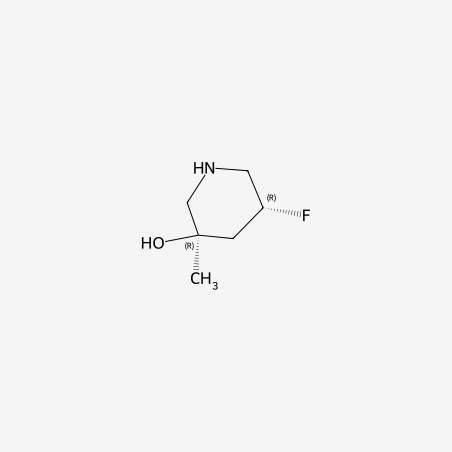 C[C@]1(O)CNC[C@H](F)C1